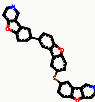 c1cc2oc3ccc(Sc4ccc5oc6ccc(-c7ccc8oc9ccncc9c8c7)cc6c5c4)cc3c2cn1